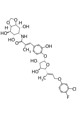 CC(=Cc1ccc(O[C@@H]2O[C@H](C(C)=CCOc3ccc(F)c(Cl)c3)[C@@H](O)[C@@H]2O)c(O)c1)C(=O)N[C@@H]1[C@H](O)[C@@H](O)[C@H]2OCO[C@H]2[C@@H]1O